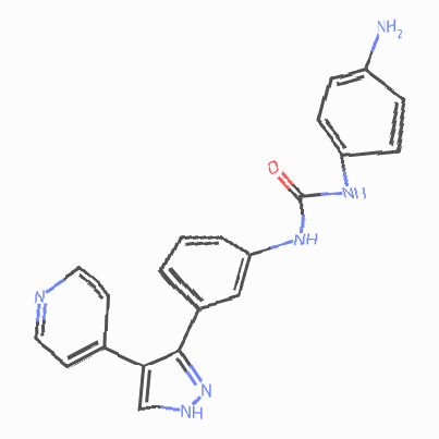 Nc1ccc(NC(=O)Nc2cccc(-c3n[nH]cc3-c3ccncc3)c2)cc1